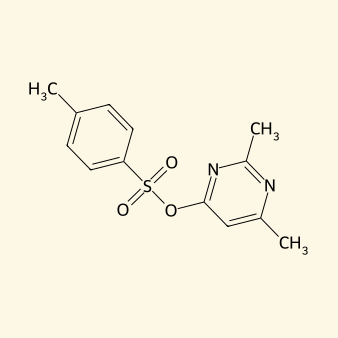 Cc1ccc(S(=O)(=O)Oc2cc(C)nc(C)n2)cc1